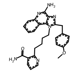 COc1ccc(Cc2nc3c(N)nc4ccccc4c3n2CCCCc2ncccc2C(N)=O)cc1